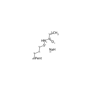 C=CC(=O)NSCCCCCCCC.[NaH]